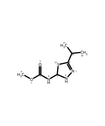 COC(=O)NC1NN=C(C(C)C)S1